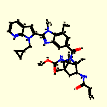 C=CC(=O)N[C@H]1C[C@@H]2CN(C(=O)c3cc(OC)c4c(c3)nc(-c3cc5cccnc5n3CC3CC3)n4C)[C@H]1[C@@H]2NC(=O)OC(C)(C)C